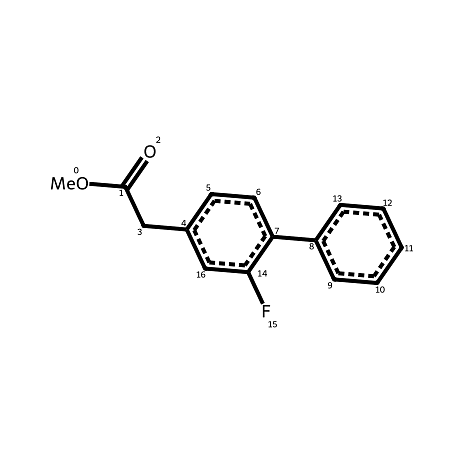 COC(=O)Cc1ccc(-c2ccccc2)c(F)c1